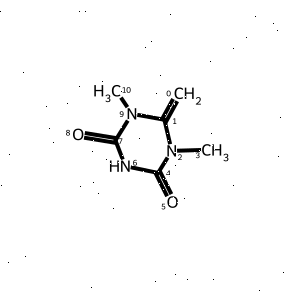 C=C1N(C)C(=O)NC(=O)N1C